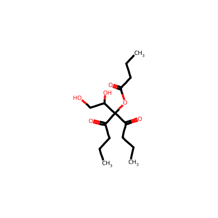 CCCC(=O)OC(C(=O)CCC)(C(=O)CCC)C(O)CO